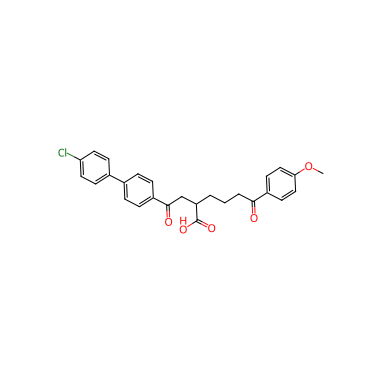 COc1ccc(C(=O)CCCC(CC(=O)c2ccc(-c3ccc(Cl)cc3)cc2)C(=O)O)cc1